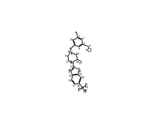 Cc1cc(CCl)cc(CN2CCN(c3nc4ccc(C(F)(F)F)cc4s3)C(C)C2)c1